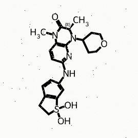 C[C@@H]1C(=O)N(C)c2ccc(Nc3ccc4c(c3)S(O)(O)CC4)nc2N1C1CCOCC1